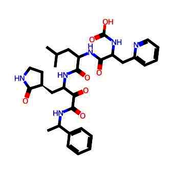 CC(C)CC(NC(=O)C(Cc1ccccn1)NC(=O)O)C(=O)NC(C[C@@H]1CCNC1=O)C(=O)C(=O)NC(C)c1ccccc1